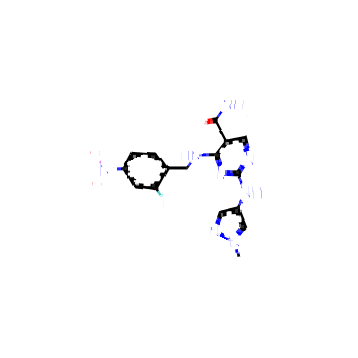 Cn1cc(Nc2ncc(C(N)=O)c(NCc3ccc([N+](=O)[O-])cc3F)n2)cn1